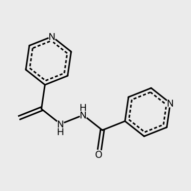 C=C(NNC(=O)c1ccncc1)c1ccncc1